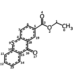 CCOC(=O)c1ccc2sc3ccccc3c(=O)c2c1